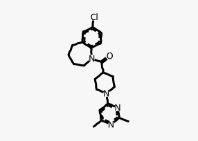 Cc1cc(N2CCC(C(=O)N3CCCCc4cc(Cl)ccc43)CC2)nc(C)n1